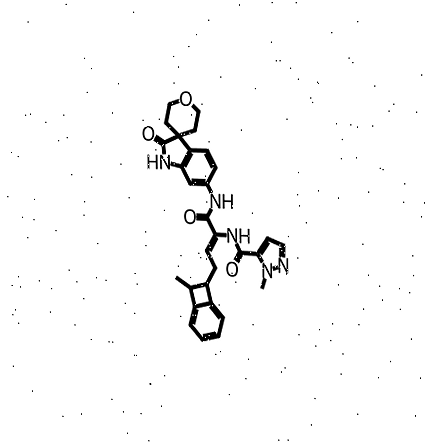 CC1c2ccccc2C1CC=C(NC(=O)c1ccnn1C)C(=O)Nc1ccc2c(c1)NC(=O)C21CCOCC1